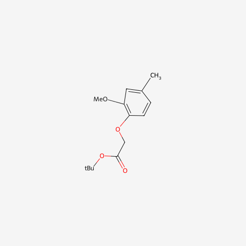 COc1cc(C)ccc1OCC(=O)OC(C)(C)C